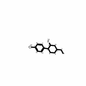 CC[C]1CCC(c2ccc(Cl)cc2)C(F)C1